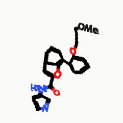 COCCOc1ccccc1-c1cccc2cc(C(=O)Nc3cccnc3)oc12